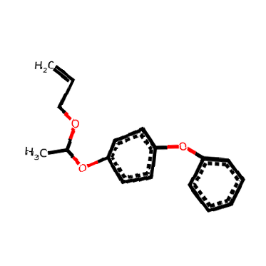 C=CCOC(C)Oc1ccc(Oc2ccccc2)cc1